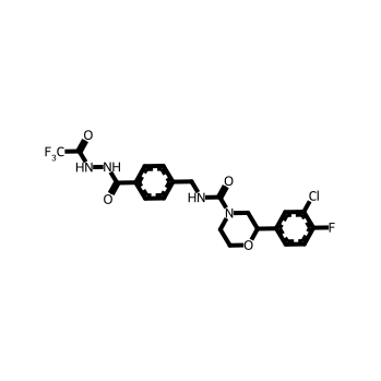 O=C(NNC(=O)C(F)(F)F)c1ccc(CNC(=O)N2CCOC(c3ccc(F)c(Cl)c3)C2)cc1